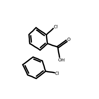 Clc1ccccc1.O=C(O)c1ccccc1Cl